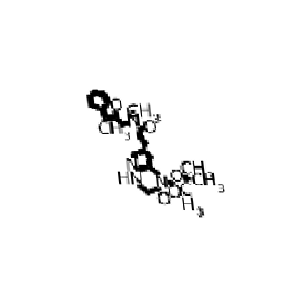 Cc1c(CN(C)C(=O)/C=C/c2cnc3c(c2)CN(C(=O)OC(C)(C)C)C(=O)CCN3)oc2ccccc12